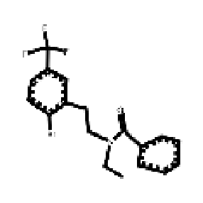 CCN(CCc1cc(C(F)(F)F)ccc1Br)C(=O)c1ccccc1